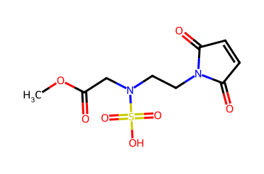 COC(=O)CN(CCN1C(=O)C=CC1=O)S(=O)(=O)O